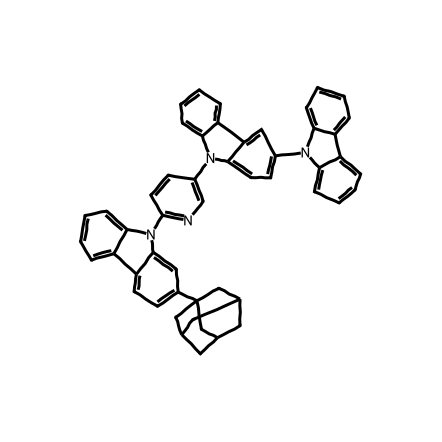 c1ccc2c(c1)c1ccccc1n2-c1ccc2c(c1)c1ccccc1n2-c1ccc(-n2c3ccccc3c3ccc(C45CC6CC(CC(C6)C4)C5)cc32)nc1